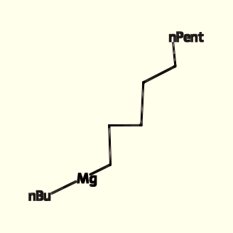 CCCCCCCCC[CH2][Mg][CH2]CCC